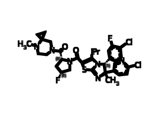 CC(C)C1=C(C(=O)N2C[C@H](F)C[C@@H]2C(=O)N2CCN(C)C3(CC3)C2)SC2=N[C@@](C)(c3ccc(Cl)nc3)[C@@H](c3ccc(Cl)c(F)c3)N21